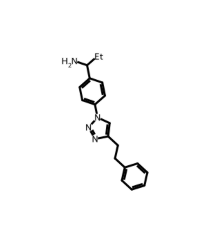 CCC(N)c1ccc(-n2cc(CCc3ccccc3)nn2)cc1